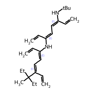 C=C/C(=C\C=C(/C=C)NC(C)(C)C)N/C(C=C)=C/C=C(\C=C)C(C)(CC)CC